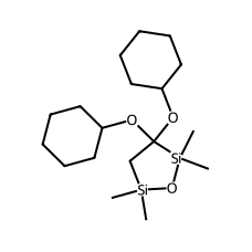 C[Si]1(C)CC(OC2CCCCC2)(OC2CCCCC2)[Si](C)(C)O1